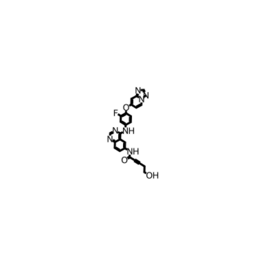 O=C(C#CCCO)Nc1ccc2ncnc(Nc3ccc(Oc4ccn5ncnc5c4)c(F)c3)c2c1